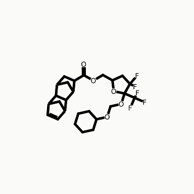 O=C(OCC1CC(F)(F)C(OCOC2CCCCC2)(C(F)(F)F)O1)C1CC2CC1C1C3C=CC(C3)C21